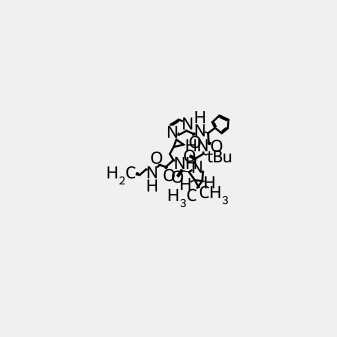 C=CCNC(=O)C(=O)C(CC1CC1)NC(=O)[C@@H]1[C@@H]2[C@H](CN1C(=O)[C@@H](NC(=O)[C@@H](NC(=O)c1cnccn1)c1ccccc1)C(C)(C)C)C2(C)C